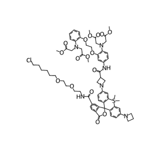 COC(=O)CN(CC(=O)OC)c1ccccc1OCCOc1cc(NC(=O)C2CN(c3ccc4c(c3)S(C)(C)c3cc(N5CCC5)ccc3C43OC(=O)c4ccc(C(=O)NCCOCCOCCCCCCCl)cc43)C2)ccc1N(CC(=O)OC)CC(=O)OC